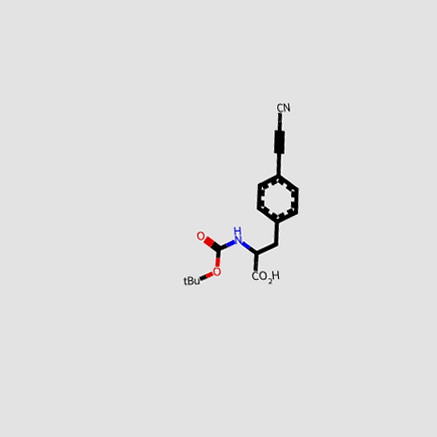 CC(C)(C)OC(=O)NC(Cc1ccc(C#CC#N)cc1)C(=O)O